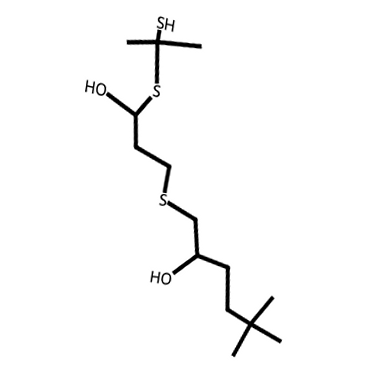 CC(C)(C)CCC(O)CSCCC(O)SC(C)(C)S